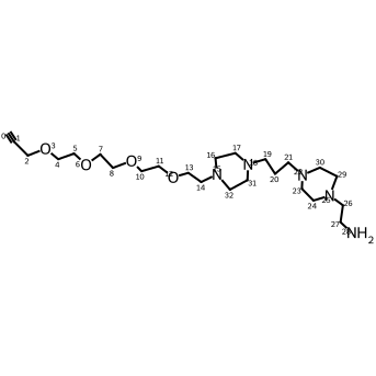 C#CCOCCOCCOCCOCCN1CCN(CCCN2CCN(CCN)CC2)CC1